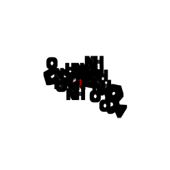 N=C1NC2[C@H](CN3C(=O)CCC3=O)NC(=N)N3CC(NC(=O)c4cccc5c4OCC54CC4)C(O)(O)C23N1